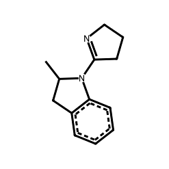 CC1Cc2ccccc2N1C1=NCCC1